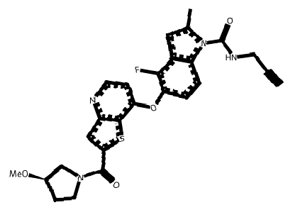 C#CCNC(=O)n1c(C)cc2c(F)c(Oc3ccnc4cc(C(=O)N5CC[C@@H](OC)C5)sc34)ccc21